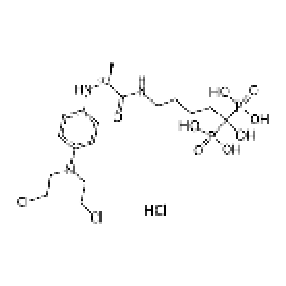 C[C@H](Nc1ccc(N(CCCl)CCCl)cc1)C(=O)NCCCCC(O)(P(=O)(O)O)P(=O)(O)O.Cl